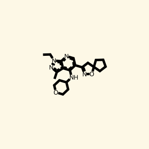 CCn1nc(C)c2c(NC3CCOCC3)c(C3=NOC4(CCCC4)C3)cnc21